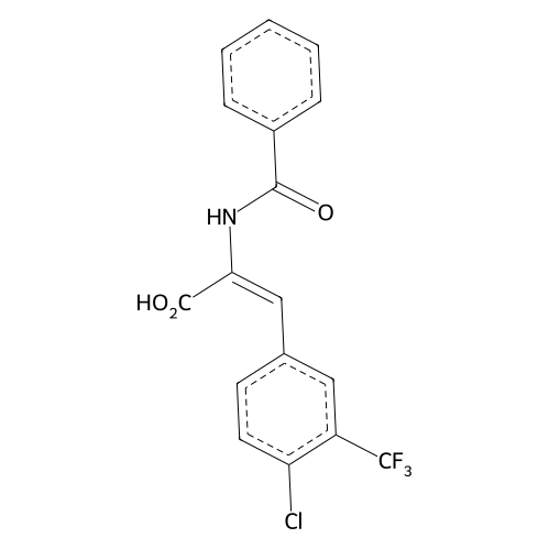 O=C(O)/C(=C\c1ccc(Cl)c(C(F)(F)F)c1)NC(=O)c1ccccc1